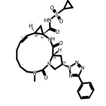 CN1CCCC/C=C\[C@H]2C[C@]2(C(=O)NS(=O)(=O)C2CC2)NC(=O)[C@@H]2C[C@@H](n3nnc(-c4ccccc4)n3)CN2C1=O